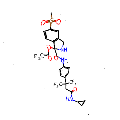 CS(=O)(=O)c1ccc2c(c1)CNC2(OC(=O)C(F)(F)F)C(=O)Nc1ccc(C(CC(=O)NC2CC2)(C(F)(F)F)C(F)(F)F)cc1